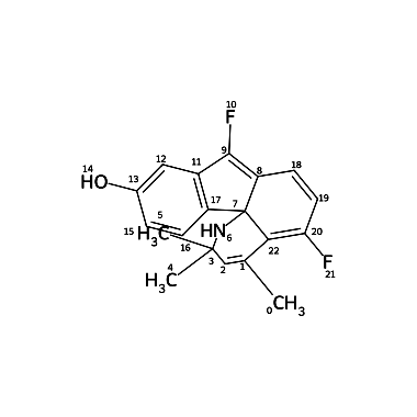 CC1=CC(C)(C)NC23C(=C(F)c4cc(O)ccc42)C=CC(F)=C13